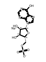 O=S(=O)([O-])OC[C@H]1O[C@@H](n2cnc3c(O)ncnc32)[C@H](O)[C@@H]1O.[Na+]